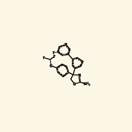 NC1=NC(c2ccc(OC(F)F)cc2)(c2cccc(-c3cncc(F)c3)c2)CO1